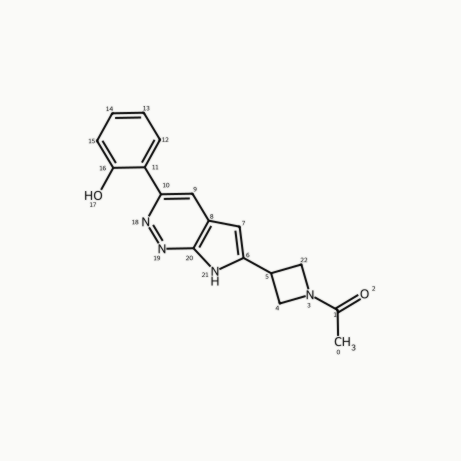 CC(=O)N1CC(c2cc3cc(-c4ccccc4O)nnc3[nH]2)C1